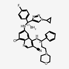 B[C@](Nc1cc(Cl)c2ncc(C#N)c(N[C@H](CCN3CCOCC3)c3ccccc3)c2c1)(c1ccc(F)cc1)c1cn(C2CC2)nn1